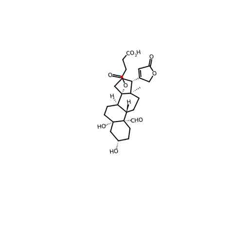 C[C@]12CC[C@H]3[C@@H](CC[C@]4(O)C[C@@H](O)CC[C@]34C=O)[C@@]1(OC(=O)CCC(=O)O)CC[C@@H]2C1=CC(=O)OC1